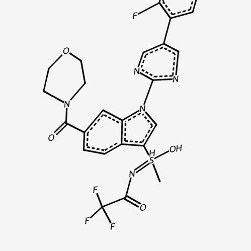 C[SH](O)(=NC(=O)C(F)(F)F)c1cn(-c2ncc(-c3ccccc3F)cn2)c2cc(C(=O)N3CCOCC3)ccc12